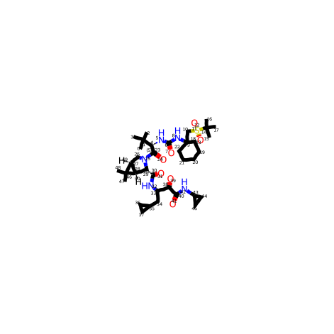 CC(C)(C)[C@H](NC(=O)NC1(CS(=O)(=O)C(C)(C)C)CCCCC1)C(=O)N1C[C@H]2[C@@H]([C@H]1C(=O)NC(CC1CC1)C(=O)C(=O)NC1CC1)C2(C)C